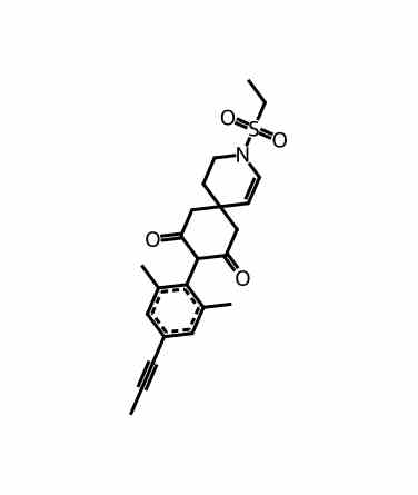 CC#Cc1cc(C)c(C2C(=O)CC3(C=CN(S(=O)(=O)CC)CC3)CC2=O)c(C)c1